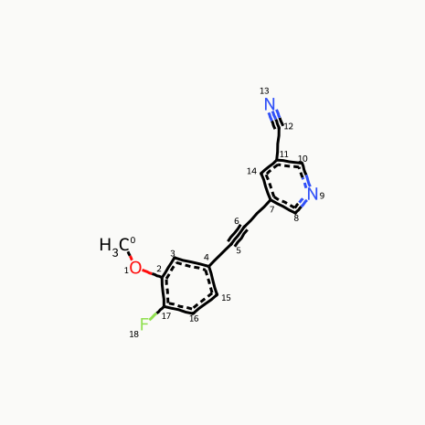 COc1cc(C#Cc2cncc(C#N)c2)ccc1F